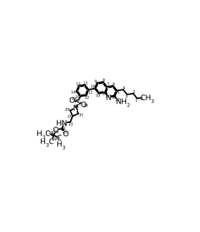 CCCCCc1cc2ccc(-c3cccc(S(=O)(=O)N4CC(CNC(=O)OC(C)(C)C)C4)c3)cc2nc1N